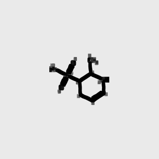 CC1NC=CCC1S(=O)(=O)C(C)C